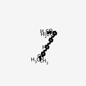 C=C(C)C(=O)Oc1ccc(/C=C/c2ccc(/C=C/c3ccc(/C=C/c4ccccc4OC(=O)C(=C)C)cc3)cc2F)cc1